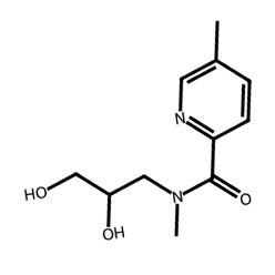 Cc1ccc(C(=O)N(C)CC(O)CO)nc1